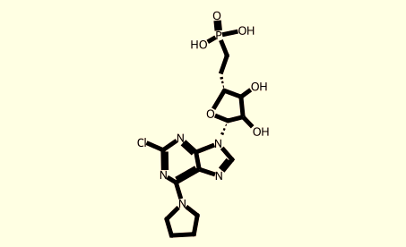 O=P(O)(O)CC[C@H]1O[C@@H](n2cnc3c(N4CCCC4)nc(Cl)nc32)C(O)C1O